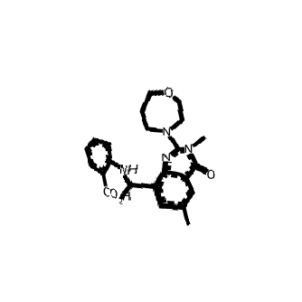 Cc1cc(C(C)Nc2ccccc2C(=O)O)c2nc(N3CCCOCC3)n(C)c(=O)c2c1